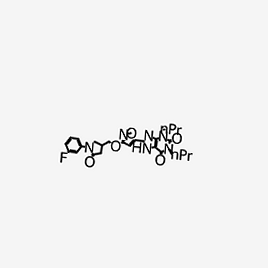 CCCn1c(=O)c2[nH]c(-c3cc(OCC4CC(=O)N(c5cccc(F)c5)C4)no3)nc2n(CCC)c1=O